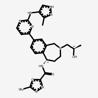 Cc1n[nH]cc1Nc1nccc(-c2ccc3c(c2)CN(C[C@@H](C)O)CC[C@@H]3NC(=O)c2nnc(C(C)(C)C)o2)n1